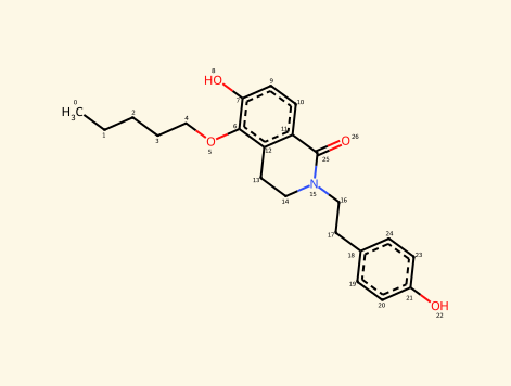 CCCCCOc1c(O)ccc2c1CCN(CCc1ccc(O)cc1)C2=O